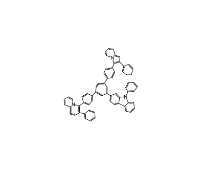 C1=CC(c2ccc(C3=C(c4ccccc4)C=C=C4C=CC=CN43)cc2)=CC(c2ccc3c4ccccc4n(-c4ccccc4)c3c2)=CC=1c1ccc(-c2c(-c3ccccc3)cc3ccccn23)cc1